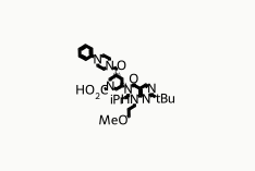 COCCCNc1nc(C(C)(C)C)ncc1C(=O)N(CC(C)C)[C@H]1C[C@@H](C(=O)N2CCN(c3ccccc3)CC2)CN(C(=O)O)C1